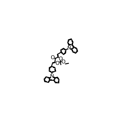 CCOC1(C)O/C(=C\c2ccc(-n3c4ccccc4c4ccccc43)cc2)C(=O)/C(=C/c2ccc(-n3c4ccccc4c4ccccc43)cc2)O1